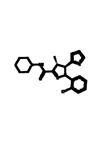 C[C@H]1C(C(=O)NN2CCCCC2)=NN(c2ccccc2Cl)[C@@H]1c1cccs1